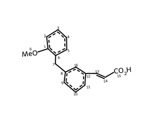 COc1ccccc1Cc1cccc(C=CC(=O)O)c1